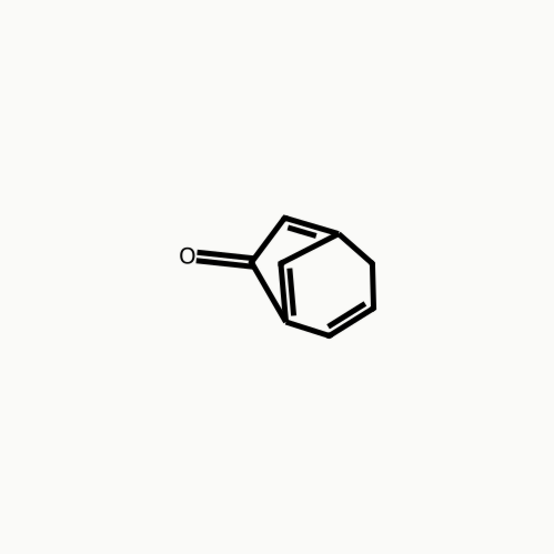 O=C1C=C2C=C1C=CC2